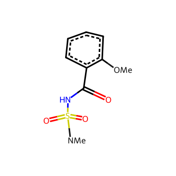 CNS(=O)(=O)NC(=O)c1ccccc1OC